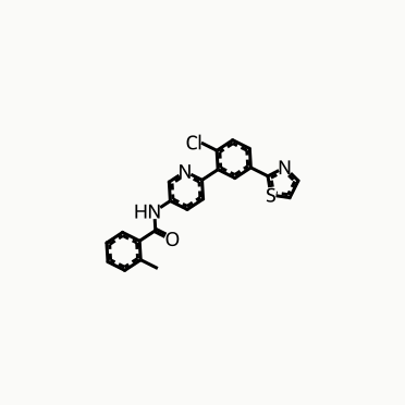 Cc1ccccc1C(=O)Nc1ccc(-c2cc(-c3nccs3)ccc2Cl)nc1